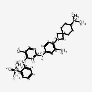 CN(C)C1CCC2(CC1)CN(c1ccc(Nc3ncc(Cl)c(Nc4ccccc4P(C)(C)=O)n3)cc1N)C2